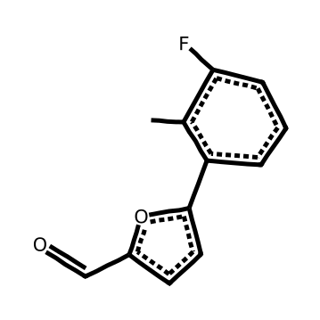 Cc1c(F)cccc1-c1ccc(C=O)o1